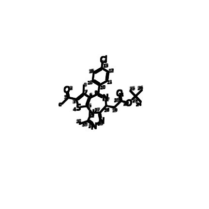 CC(=O)c1sc2c(c1C)C(c1ccc(Cl)cc1)=N[C@@H](CC(=O)OC(C)(C)C)c1nnc(C)n1-2